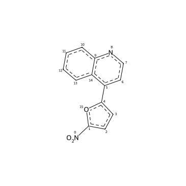 O=[N+]([O-])c1ccc(-c2ccnc3ccccc23)o1